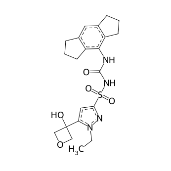 CCn1nc(S(=O)(=O)NC(=O)Nc2c3c(cc4c2CCC4)CCC3)cc1C1(O)COC1